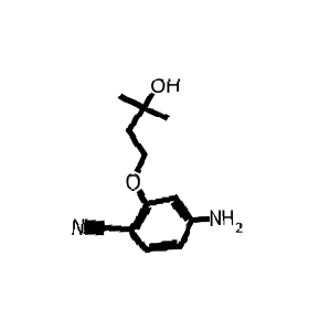 CC(C)(O)CCOc1cc(N)ccc1C#N